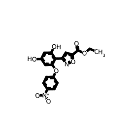 CCOC(=O)c1cc(-c2c(O)cc(O)cc2Oc2ccc([N+](=O)[O-])cc2)no1